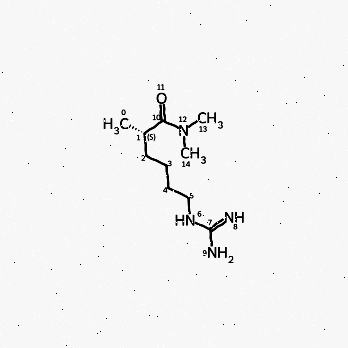 C[C@@H](CCCCNC(=N)N)C(=O)N(C)C